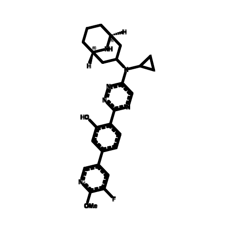 COc1ncc(-c2ccc(-c3ncc(N(C4CC4)C4C[C@@H]5CCC[C@@H](C4)N5)nn3)c(O)c2)cc1F